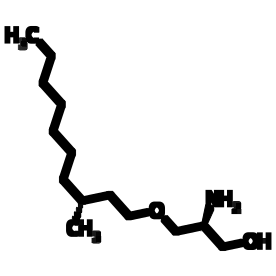 CCCCCCC[C@@H](C)CCOC[C@@H](N)CO